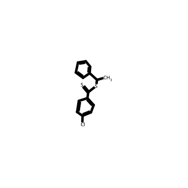 CC(SC(=S)c1ccc(Cl)cc1)c1ccccc1